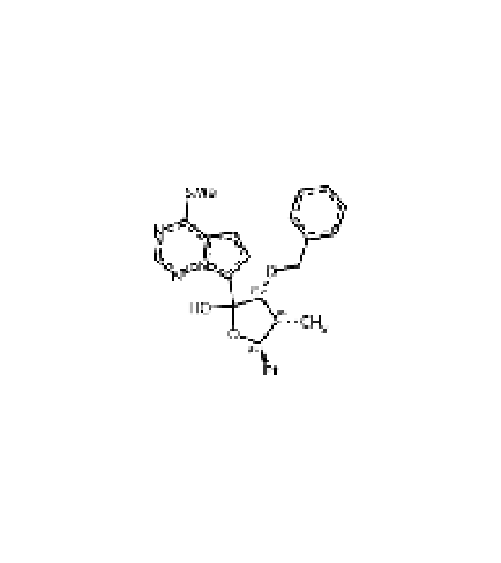 CC[C@H]1OC(O)(c2ccc3c(SC)ncnn23)[C@H](OCc2ccccc2)[C@@H]1C